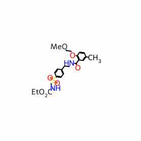 CCOC(=O)NCS(=O)(=O)c1ccc(CCNC(=O)c2cc(C)ccc2OCCOC)cc1